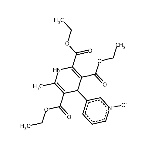 CCOC(=O)C1=C(C(=O)OCC)C(c2ccc[n+]([O-])c2)C(C(=O)OCC)=C(C)N1